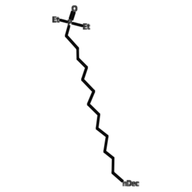 CCCCCCCCCCCCCCCCCCCCCCCP(=O)(CC)CC